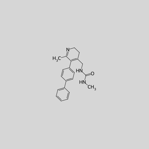 CNC(=O)NCC1=C(c2ccc(-c3ccccc3)cc2)C(C)=NCC1